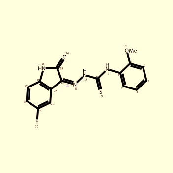 COc1ccccc1NC(=S)N/N=C1\C(=O)Nc2ccc(F)cc21